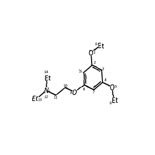 CCOc1cc(OCC)cc(OCCN(CC)CC)c1